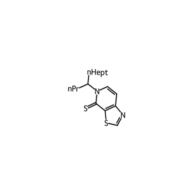 CCCCCCCC(CCC)n1ccc2ncsc2c1=S